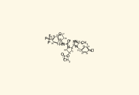 CC(=O)OC1CC(c2nnc(C)n2Cc2ccc(Cl)cc2)N(C(=O)NC2CCOc3cc(C(F)(F)F)ccc32)C1